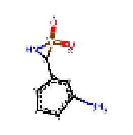 Nc1cccc(C2NS2(=O)=O)c1